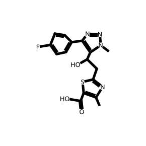 Cc1nc(CC(O)c2c(-c3ccc(F)cc3)nnn2C)sc1C(=O)O